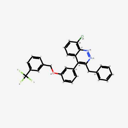 FC(F)(F)c1cccc(COc2cccc(-c3c(Cc4ccccc4)nnc4c(Cl)cccc34)c2)c1